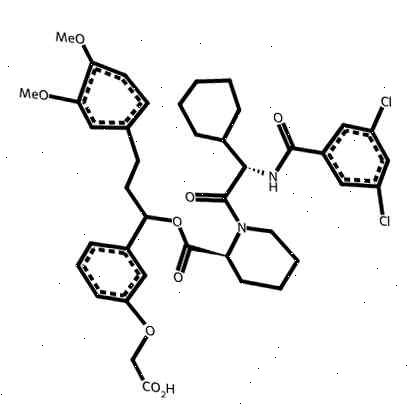 COc1ccc(CCC(OC(=O)[C@@H]2CCCCN2C(=O)[C@@H](NC(=O)c2cc(Cl)cc(Cl)c2)C2CCCCC2)c2cccc(OCC(=O)O)c2)cc1OC